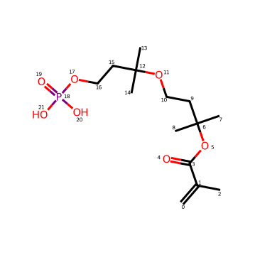 C=C(C)C(=O)OC(C)(C)CCOC(C)(C)CCOP(=O)(O)O